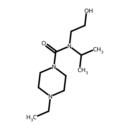 CCN1CCN(C(=O)N(CCO)C(C)C)CC1